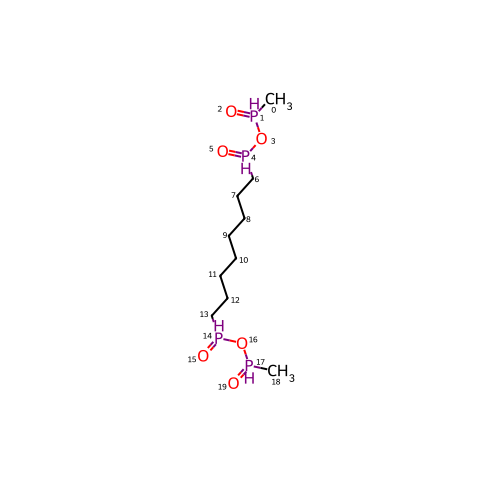 C[PH](=O)O[PH](=O)CCCCCCCC[PH](=O)O[PH](C)=O